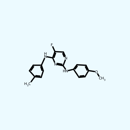 COc1ccc(Nc2ncc(F)c(Nc3ccc(C)cc3)n2)cc1